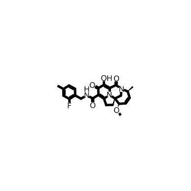 CO[C@H]1C=C[C@H](C)N2C[C@]13CCc1c(C(=O)NCc4ccc(C)cc4F)c(=O)c(O)c(n13)C2=O